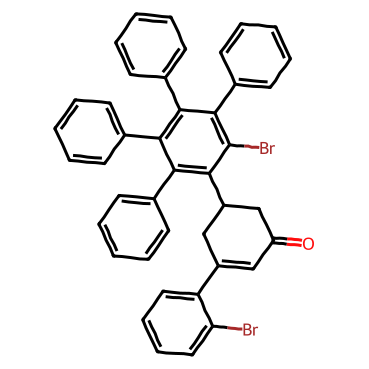 O=C1C=C(c2ccccc2Br)CC(c2c(Br)c(-c3ccccc3)c(-c3ccccc3)c(-c3ccccc3)c2-c2ccccc2)C1